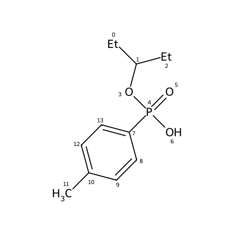 CCC(CC)OP(=O)(O)c1ccc(C)cc1